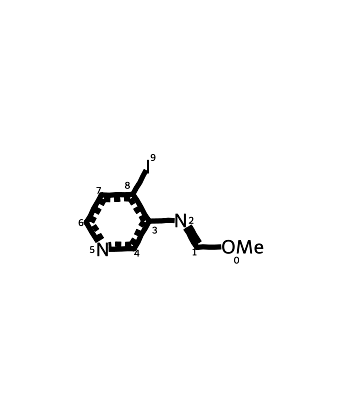 CO/C=N/c1cnccc1I